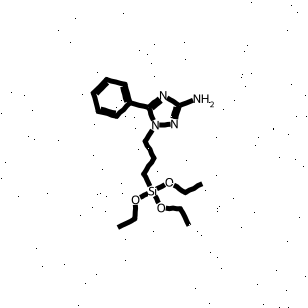 CCO[Si](CCCn1nc(N)nc1-c1ccccc1)(OCC)OCC